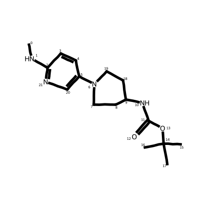 CNc1ccc(N2CCC(NC(=O)OC(C)(C)C)CC2)cn1